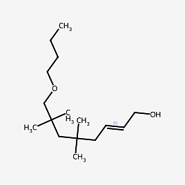 CCCCOCC(C)(C)CC(C)(C)C/C=C/CO